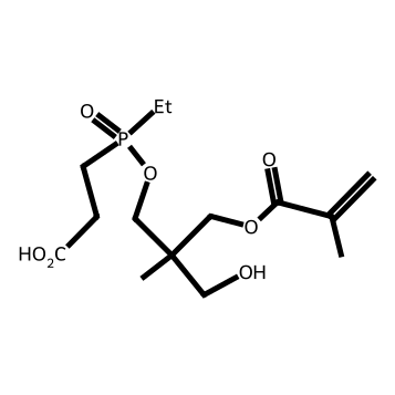 C=C(C)C(=O)OCC(C)(CO)COP(=O)(CC)CCC(=O)O